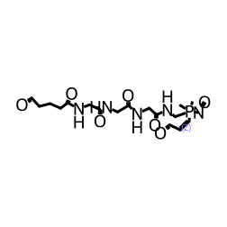 CP(C)(/C=C\C=O)(CNC(=O)CNC(=O)CNC(=O)CNC(=O)CCCC=O)N=O